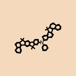 CC1(C)c2cc(N(c3ccccc3)c3ccc4c5c(ccc4c3)-c3c(ccc4ccccc34)C5(C)C)ccc2-c2cc3c(cc21)-c1c(ccc2ccccc12)C3(C)C